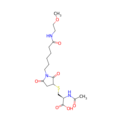 COCCNC(=O)CCCCCN1C(=O)CC(SC[C@@H](NC(C)=O)C(=O)O)C1=O